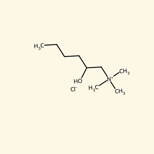 CCCCC(O)C[N+](C)(C)C.[Cl-]